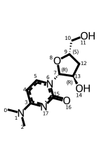 CN(C)c1ccn([C@@H]2O[C@H](CO)C[C@H]2O)c(=O)n1